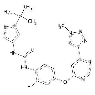 Cn1cc(-c2cc(Oc3ccc(NC(=O)Nc4cnn(C(C)(C)C)c4)c(F)c3)ncn2)nn1